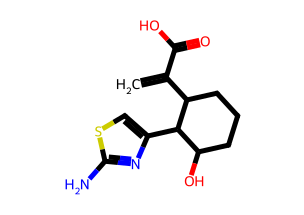 C=C(C(=O)O)C1CCCC(O)C1c1csc(N)n1